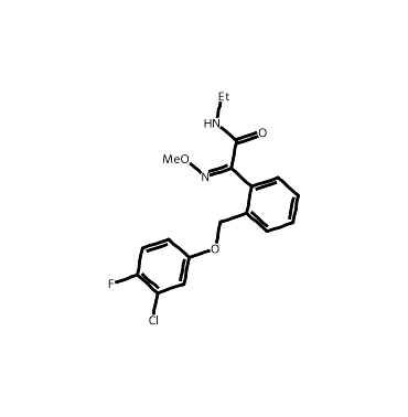 CCNC(=O)C(=NOC)c1ccccc1COc1ccc(F)c(Cl)c1